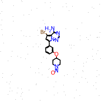 Nc1ncnn2c(-c3cccc(OC4CCN(N=O)CC4)c3)cc(Br)c12